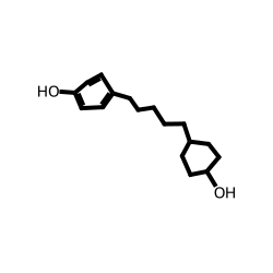 Oc1ccc(CCCCCC2CCC(O)CC2)cc1